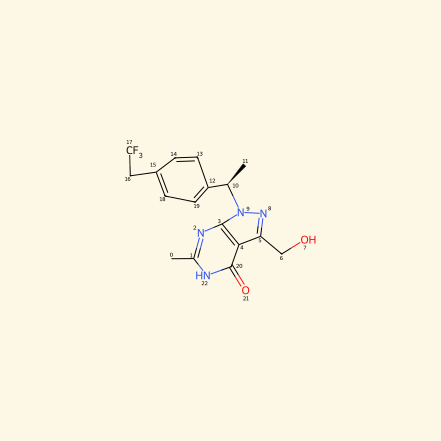 Cc1nc2c(c(CO)nn2[C@H](C)c2ccc(CC(F)(F)F)cc2)c(=O)[nH]1